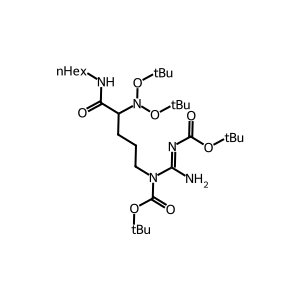 [CH2]CCCCCNC(=O)C(CCCN(C(=O)OC(C)(C)C)C(N)=NC(=O)OC(C)(C)C)N(OC(C)(C)C)OC(C)(C)C